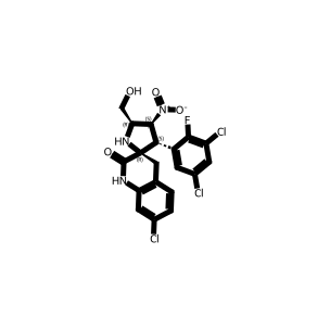 O=C1Nc2cc(Cl)ccc2C[C@]12N[C@@H](CO)[C@@H]([N+](=O)[O-])[C@@H]2c1cc(Cl)cc(Cl)c1F